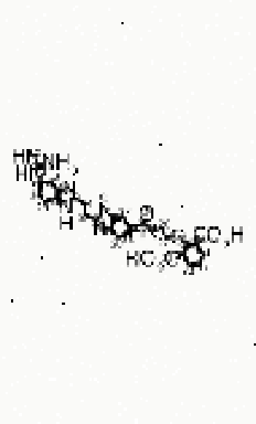 Cn1c(CCc2nc3cc(NC(=N)N)ccc3[nH]2)nc2ccc(C(=O)NCCOc3c(C(=O)O)cccc3C(=O)O)cc21